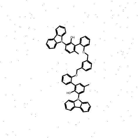 Cc1cc(-c2ccccc2OCc2cccc(COc3ccccc3-c3c(C)ccc(-n4c5ccccc5c5ccccc54)c3O)c2)c(O)c(-n2c3ccccc3c3ccccc32)c1